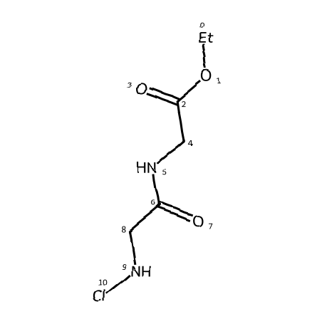 CCOC(=O)CNC(=O)CNCl